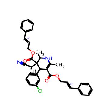 CC1=C(C(=O)OC/C=C/c2ccccc2)C(c2cccc(Cl)c2)C(C(=O)OC/C=C/c2ccccc2)(C(C)C#N)C(C)N1